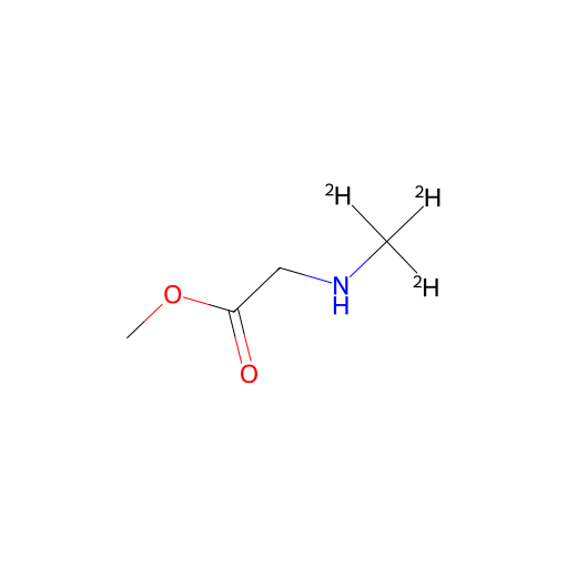 [2H]C([2H])([2H])NCC(=O)OC